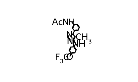 CC(=O)Nc1cccc(-c2ncnc(Nc3ccc(OC(F)(F)F)cc3)c2C)c1